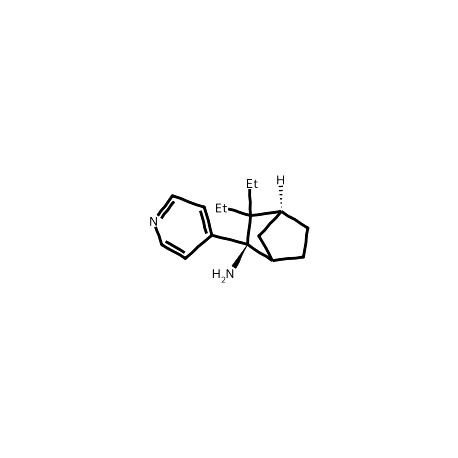 CCC1(CC)[C@H]2CCC(C2)[C@]1(N)c1ccncc1